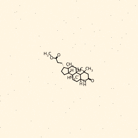 COC(=O)CC[C@H]1CC[C@H]2[C@@H]3CC[C@H]4NC(=O)CC(C)(C)[C@]4(C)[C@H]3CC[C@]12C